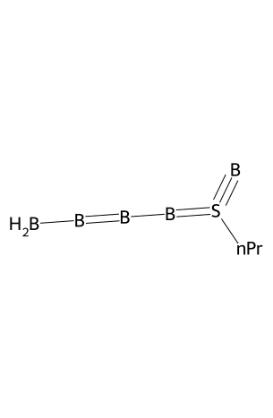 B#S(=BB=BB)CCC